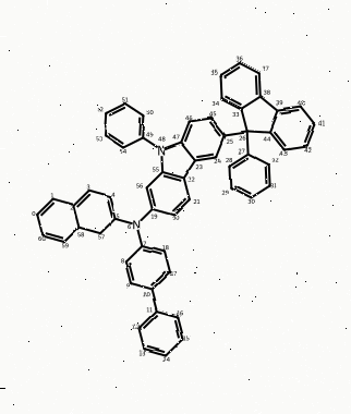 C1=CC2=CC=C(N(c3ccc(-c4ccccc4)cc3)c3ccc4c5cc(C6(c7ccccc7)c7ccccc7-c7ccccc76)ccc5n(-c5ccccc5)c4c3)CC2C=C1